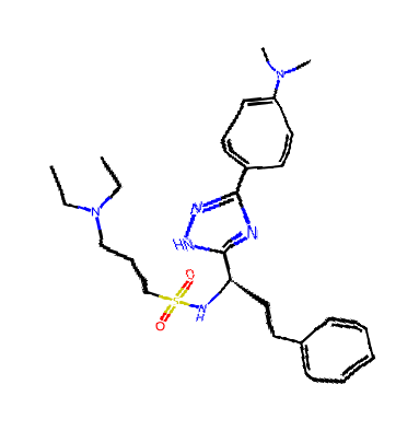 CCN(CC)CCCS(=O)(=O)N[C@H](CCc1ccccc1)c1nc(-c2ccc(N(C)C)cc2)n[nH]1